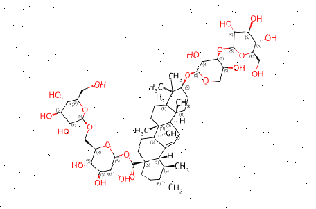 C[C@H]1[C@H](C)CC[C@]2(C(=O)O[C@@H]3O[C@H](CO[C@@H]4O[C@H](CO)[C@@H](O)[C@H](O)[C@H]4O)[C@@H](O)[C@H](O)[C@H]3O)CC[C@]3(C)C(=CC[C@@H]4[C@@]5(C)CC[C@H](O[C@@H]6OC[C@H](O)[C@H](O[C@@H]7O[C@H](CO)[C@@H](O)[C@H](O)[C@H]7O)[C@H]6O)C(C)(C)[C@@H]5CC[C@]43C)[C@H]12